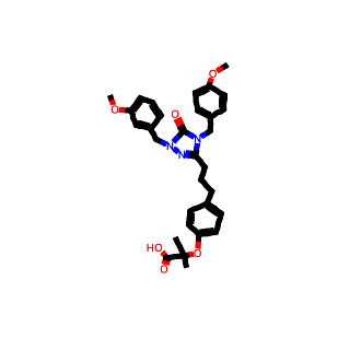 COc1ccc(Cn2c(CCCc3ccc(OC(C)(C)C(=O)O)cc3)nn(Cc3cccc(OC)c3)c2=O)cc1